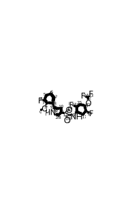 COc1c(F)cccc1-c1cc(S(=O)(=O)Nc2cc(F)c(OC(F)F)cc2F)c[nH]1